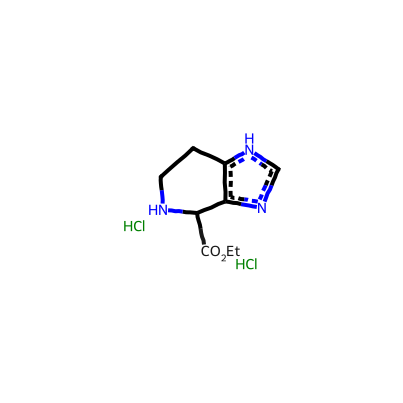 CCOC(=O)C1NCCc2[nH]cnc21.Cl.Cl